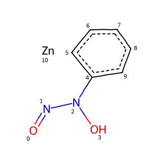 O=NN(O)c1ccccc1.[Zn]